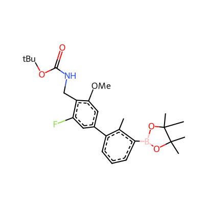 COc1cc(-c2cccc(B3OC(C)(C)C(C)(C)O3)c2C)cc(F)c1CNC(=O)OC(C)(C)C